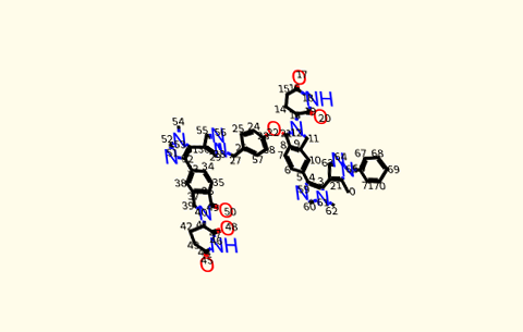 Cc1c(-c2c(-c3ccc4c(c3)CN(C3CCC(=O)NC3=O)C4Oc3ccc(Cn4cc(-c5c(-c6ccc7c(c6)CN(C6CCC(=O)NC6=O)C7=O)ncn5C)cn4)cc3)ncn2C)cnn1-c1ccccc1